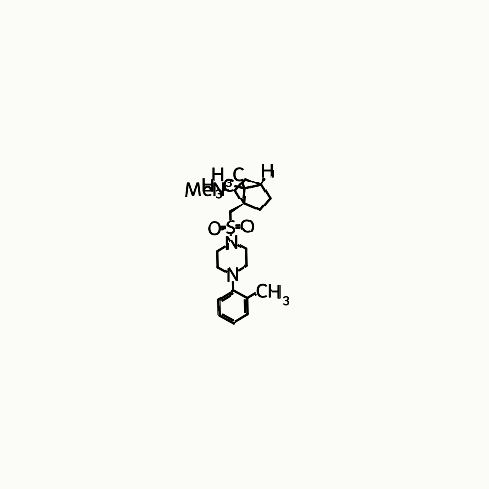 CN[C@@H]1C[C@@H]2CC[C@@]1(CS(=O)(=O)N1CCN(c3ccccc3C)CC1)C2(C)C